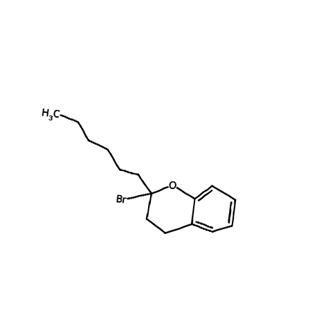 CCCCCCC1(Br)CCc2ccccc2O1